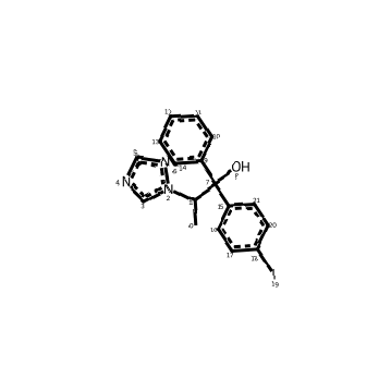 CC(n1cncn1)C(O)(c1ccccc1)c1ccc(I)cc1